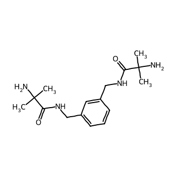 CC(C)(N)C(=O)NCc1cccc(CNC(=O)C(C)(C)N)c1